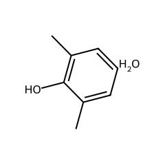 Cc1cccc(C)c1O.O